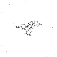 Cc1ccc(-n2nc(C3(O)CCC(=O)CC3)cc2-c2ccccc2)cc1